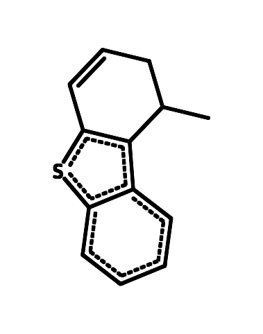 CC1CC=Cc2sc3ccccc3c21